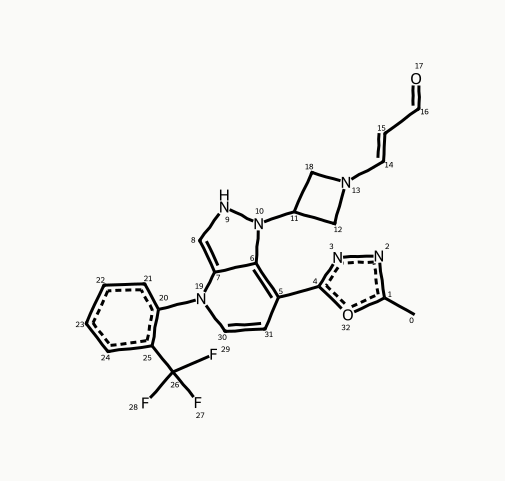 Cc1nnc(C2=C3C(=CNN3C3CN(C=CC=O)C3)N(c3ccccc3C(F)(F)F)C=C2)o1